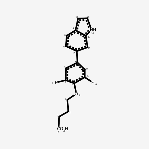 O=C(O)CCCOc1c(F)cc(-c2ccc3cc[nH]c3c2)cc1F